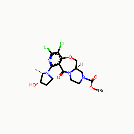 C[C@H]1[C@@H](O)CCN1c1nc(Cl)c(Cl)c2c1C(=O)N1CCN(C(=O)OC(C)(C)C)C[C@@H]1CO2